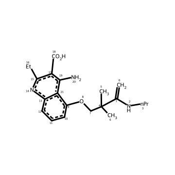 C=C(NCCC)C(C)(C)COc1cccc2nc(CC)c(C(=O)O)c(N)c12